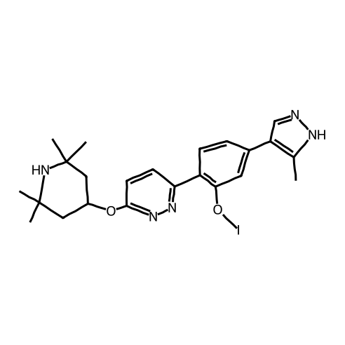 Cc1[nH]ncc1-c1ccc(-c2ccc(OC3CC(C)(C)NC(C)(C)C3)nn2)c(OI)c1